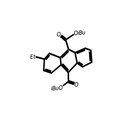 CCc1ccc2c(C(=O)OCC(C)C)c3ccccc3c(C(=O)OCC(C)C)c2c1